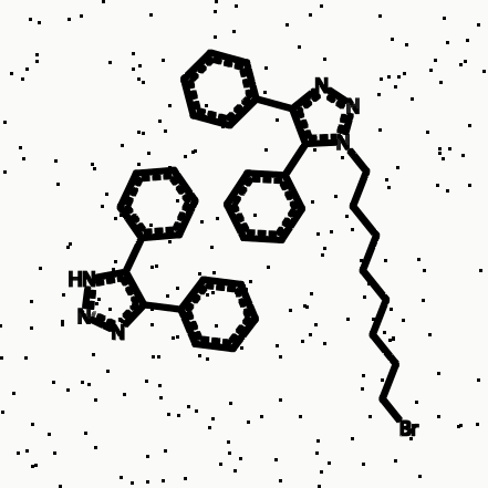 BrCCCCCCCCn1nnc(-c2ccccc2)c1-c1ccccc1.c1ccc(-c2nn[nH]c2-c2ccccc2)cc1